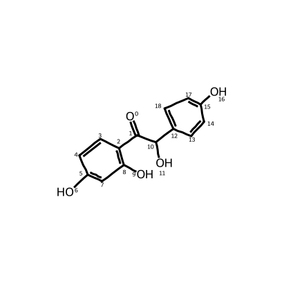 O=C(c1ccc(O)cc1O)C(O)c1ccc(O)cc1